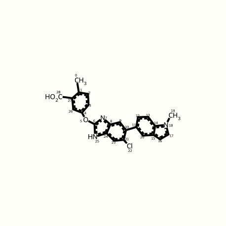 Cc1ccc(Oc2nc3cc(-c4ccc5c(ccn5C)c4)c(Cl)cc3[nH]2)cc1C(=O)O